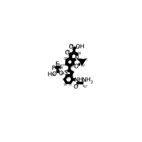 COc1c(-c2cc3c(s2)CCCC3NC(=O)[C@@H](C)N)ccc2c(=O)c(C(=O)O)cn(C3CC3)c12.O=C(O)C(F)(F)F